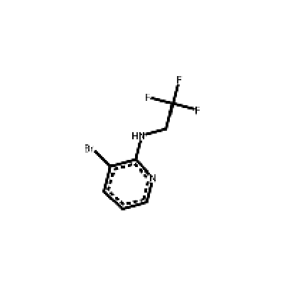 FC(F)(F)CNc1ncccc1Br